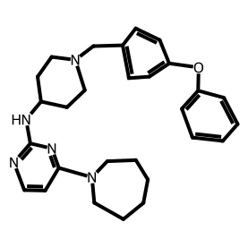 c1ccc(Oc2ccc(CN3CCC(Nc4nccc(N5CCCCCC5)n4)CC3)cc2)cc1